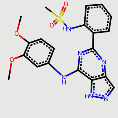 COc1ccc(Nc2nc(-c3ccccc3NS(C)(=O)=O)nc3cn[nH]c23)cc1OC